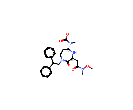 CON(C)C(=O)C[C@@H]1N[C@@H](N(C)C(=O)O)CCN(CC(c2ccccc2)c2ccccc2)C1=O